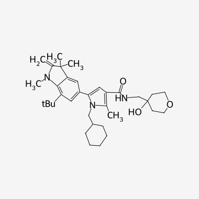 C=C1N(C)c2c(C(C)(C)C)cc(-c3cc(C(=O)NCC4(O)CCOCC4)c(C)n3CC3CCCCC3)cc2C1(C)C